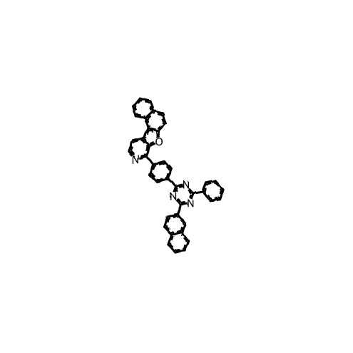 c1ccc(-c2nc(-c3ccc(-c4nccc5c4oc4ccc6ccccc6c45)cc3)nc(-c3ccc4ccccc4c3)n2)cc1